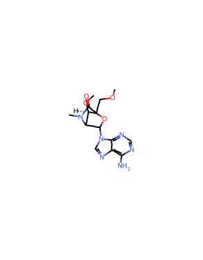 COCC12OC(n3cnc4c(N)ncnc43)C([C@H]1OC)N(C)C2=O